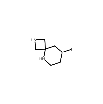 IN1CCNC2(CNC2)C1